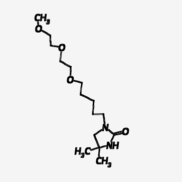 COCCOCCOCCCCCN1CC(C)(C)NC1=O